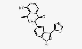 C=C(C)c1c(C#N)cccc1C(=O)Nc1ccc2[nH]nc(-c3cnco3)c2c1